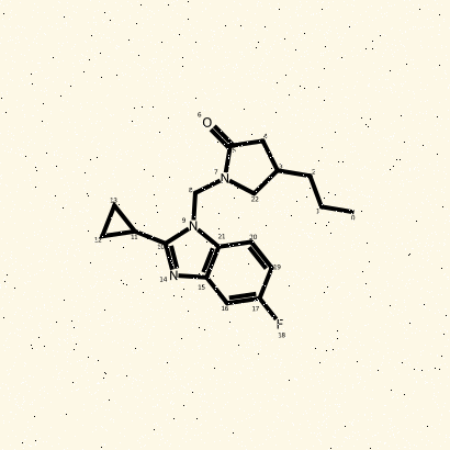 CCCC1CC(=O)N(Cn2c(C3CC3)nc3cc(F)ccc32)C1